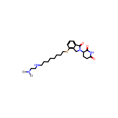 CCN(CC)CCNCCCCCCCCSc1cccc2c1CN(C1CCC(=O)NC1=O)C2=O